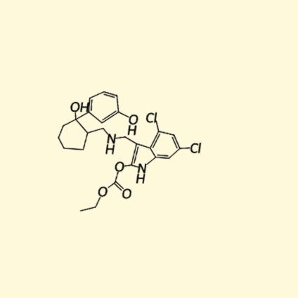 CCOC(=O)Oc1[nH]c2cc(Cl)cc(Cl)c2c1CNCC1CCCCC1(O)c1cccc(O)c1